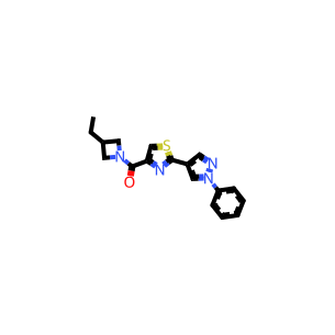 CCC1CN(C(=O)c2csc(-c3cnn(-c4ccccc4)c3)n2)C1